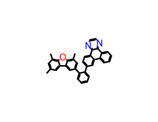 Cc1cc(C)c2oc3c(C)cc(-c4ccccc4-c4ccc5c(c4)c4ccccc4c4nccnc54)cc3c2c1